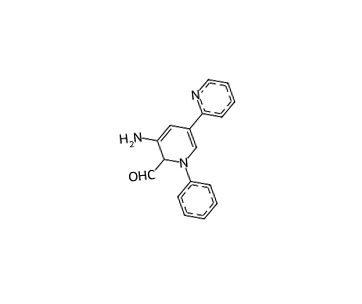 NC1=CC(c2ccccn2)=CN(c2ccccc2)C1C=O